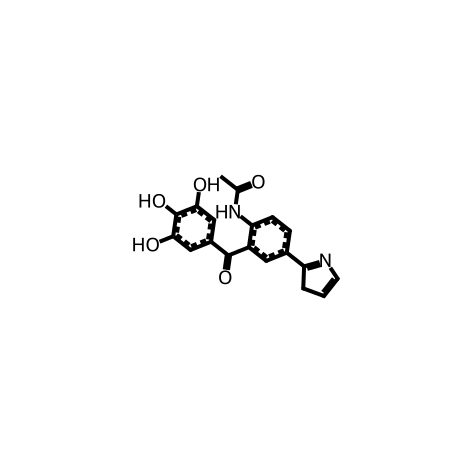 CC(=O)Nc1ccc(C2=NC=CC2)cc1C(=O)c1cc(O)c(O)c(O)c1